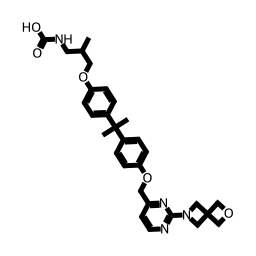 CC(CNC(=O)O)COc1ccc(C(C)(C)c2ccc(OCc3ccnc(N4CC5(COC5)C4)n3)cc2)cc1